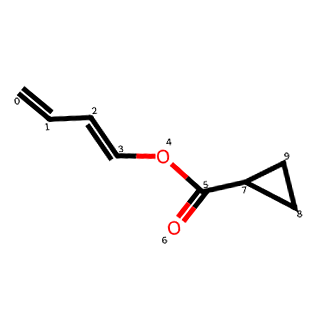 C=CC=COC(=O)C1CC1